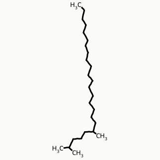 CCCCCCCCCCCCCCCCCCC(C)CCCC(C)C